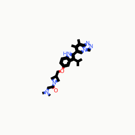 Cc1c(-c2[nH]c3ccc(OCC4CN(C(=O)CN(C)C)C4)cc3c2C(C)C)cn2cnnc2c1C